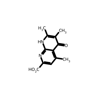 Cc1[nH]c2nc(C(=O)O)cc(C)c2c(=O)c1C